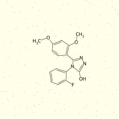 COc1ccc(-c2nnc(O)n2-c2ccccc2F)c(OC)c1